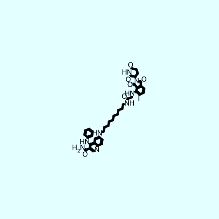 NC(=O)c1cnc2ccc(NCCCCCCCCCCNC(=O)CNc3c(I)ccc4c3C(=O)N(C3CCC(=O)NC3=O)C4=O)cc2c1Nc1ccccc1